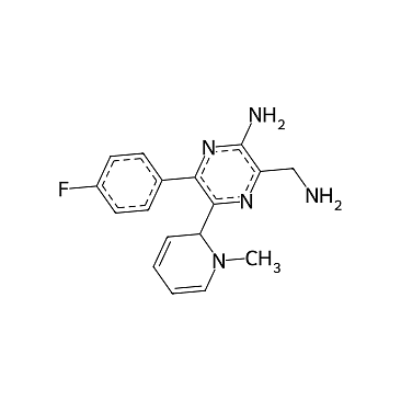 CN1C=CC=CC1c1nc(CN)c(N)nc1-c1ccc(F)cc1